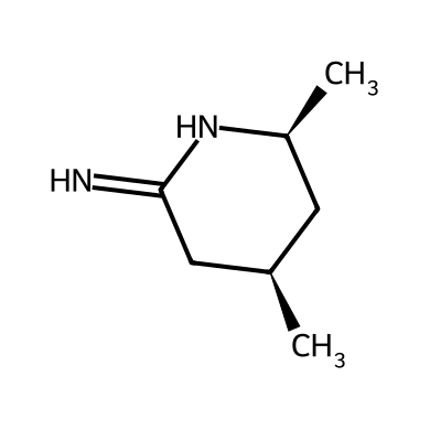 C[C@H]1CC(=N)N[C@@H](C)C1